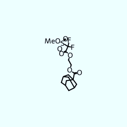 COS(=O)(=O)C(F)(F)C(=O)OCCOC(=O)C12CC3CC(CC(C3)C1)C2